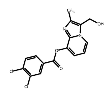 Cc1nc2c(OC(=O)c3ccc(Cl)c(Cl)c3)cccn2c1CO